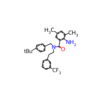 Cc1cc(C)c(N)c(C(=O)N(CCc2cccc(C(F)(F)F)c2)Cc2ccc(C(C)(C)C)cc2)c1